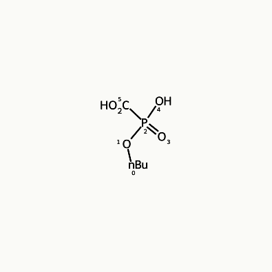 CCCCOP(=O)(O)C(=O)O